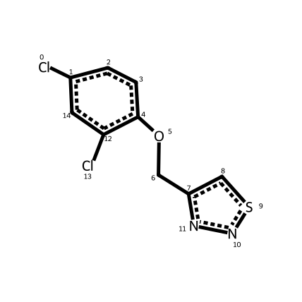 Clc1ccc(OCc2csnn2)c(Cl)c1